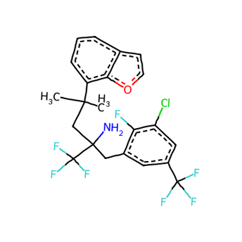 CC(C)(CC(N)(Cc1cc(C(F)(F)F)cc(Cl)c1F)C(F)(F)F)c1cccc2ccoc12